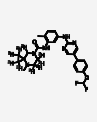 [2H]C1N(C(=O)Nc2cc(Nc3ncc(-c4ccc(OC(F)F)cc4)cn3)ccc2C)C([2H])([2H])C([2H])([2H])N(C)C12C([2H])([2H])C2([2H])[2H]